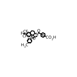 Cc1ccc(S(=O)(=O)C23CCN(C(=O)C45CCC(C(=O)O)(CC4)CC5)C2CCc2cc(C(F)(C(F)(F)F)C(F)(F)F)ccc23)cc1